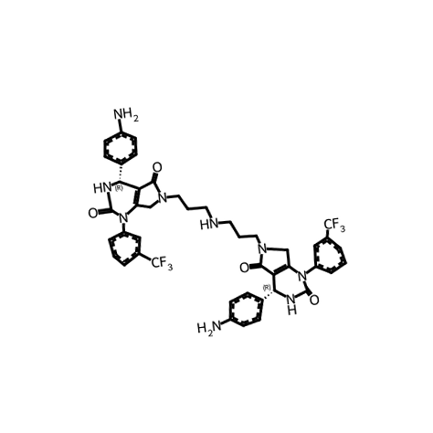 Nc1ccc([C@H]2NC(=O)N(c3cccc(C(F)(F)F)c3)C3=C2C(=O)N(CCCNCCCN2CC4=C(C2=O)[C@@H](c2ccc(N)cc2)NC(=O)N4c2cccc(C(F)(F)F)c2)C3)cc1